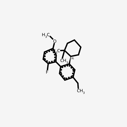 CCc1ccc(-c2cc(OC)ccc2F)c([C@@H]2CCCCC2(C)C)c1